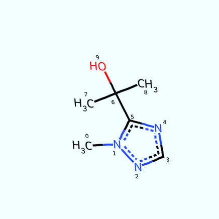 Cn1ncnc1C(C)(C)O